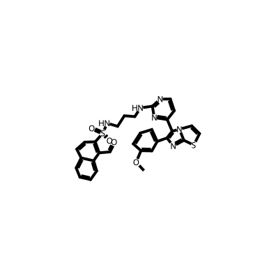 COc1cccc(-c2nc3sccn3c2-c2ccnc(NCCCNS(=O)(=O)c3ccc4ccccc4c3C=O)n2)c1